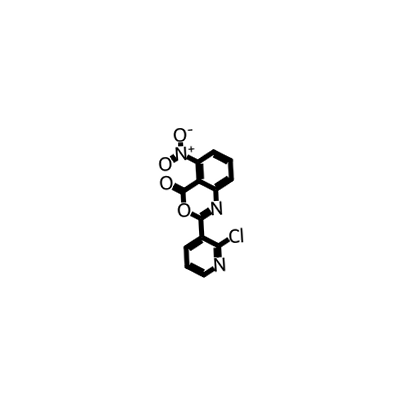 O=c1oc(-c2cccnc2Cl)nc2cccc([N+](=O)[O-])c12